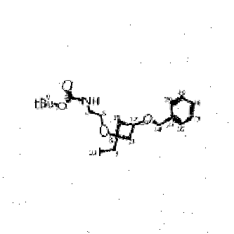 CC(C)(C)OC(=O)NCCOC1(CI)CC(OCc2ccccc2)C1